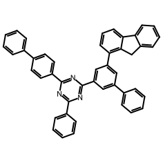 c1ccc(-c2ccc(-c3nc(-c4ccccc4)nc(-c4cc(-c5ccccc5)cc(-c5cccc6c5Cc5ccccc5-6)c4)n3)cc2)cc1